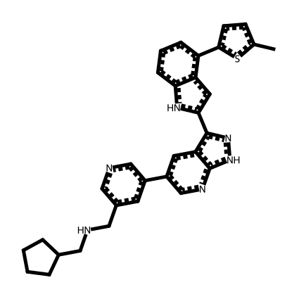 Cc1ccc(-c2cccc3[nH]c(-c4n[nH]c5ncc(-c6cncc(CNCC7CCCC7)c6)cc45)cc23)s1